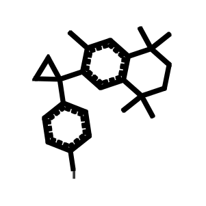 Cc1cc2c(cc1C1(c3ccc(I)cc3)CC1)C(C)(C)CCC2(C)C